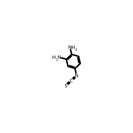 Nc1ccc(N=C=S)cc1N